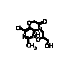 Cc1nc(Cl)c2c(n1)N(CC(O)CO)C(=O)CO2